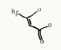 CC(Cl)=CC(=O)Cl